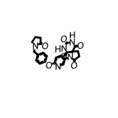 O=C1NC(=O)C2(CCC(=O)N2c2ccc(Oc3ccc(CN4CCCC4=O)cc3)nc2)C(=O)N1